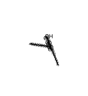 CCCCCCCCCCCCCCCC(=O)OC(CCOC(=O)CCCC(=O)O)OC(=O)CCCCCCCCCCCCCCC